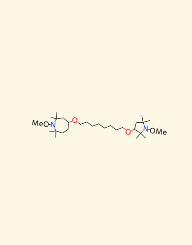 CON1C(C)(C)CCC(OCCCCCCCCOC2CC(C)(C)N(OC)C2(C)C)CC1(C)C